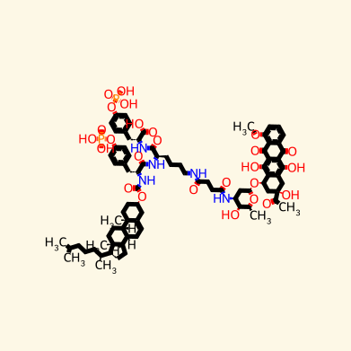 COc1cccc2c1C(=O)c1c(O)c3c(c(O)c1C2=O)C[C@@](O)(C(C)=O)C[C@@H]3O[C@H]1C[C@H](NC(=O)CCC(=O)NCCCC[C@@H](NC(=O)[C@@H](Cc2ccc(OP(=O)(O)O)cc2)NC(=O)O[C@H]2CC[C@@]3(C)C(=CC[C@H]4[C@@H]5CC[C@H]([C@H](C)CCCC(C)C)[C@@]5(C)CC[C@@H]43)C2)C(=O)N[C@H](Cc2ccc(OP(=O)(O)O)cc2)C(=O)O)[C@H](O)[C@H](C)O1